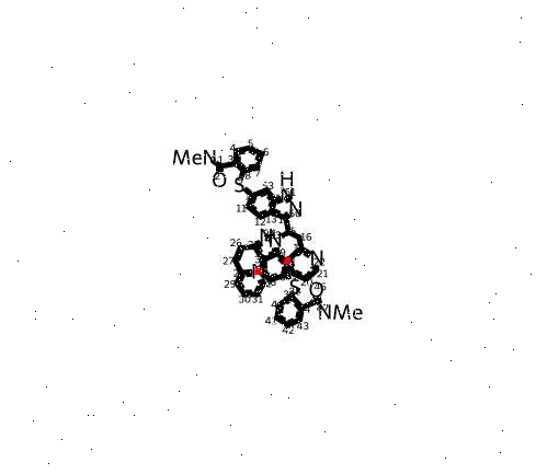 CNC(=O)c1ccccc1Sc1ccc2c(C(Cc3ccccn3)n3nc(/C=C\c4ccccn4)c4ccc(Sc5ccccc5C(=O)NC)cc43)n[nH]c2c1